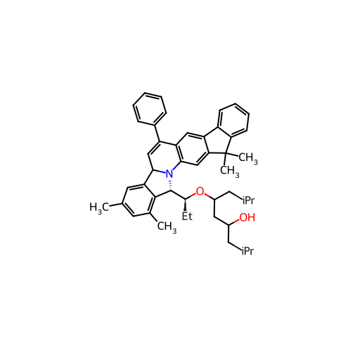 CC[C@H](OC(CC(C)C)CC(O)CC(C)C)[C@@H]1c2c(C)cc(C)cc2C2C=C(c3ccccc3)c3cc4c(cc3N21)C(C)(C)c1ccccc1-4